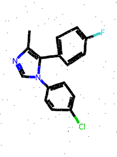 Cc1ncn(-c2ccc(Cl)cc2)c1-c1ccc(F)cc1